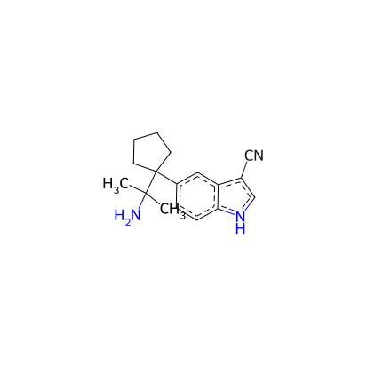 CC(C)(N)C1(c2ccc3[nH]cc(C#N)c3c2)CCCC1